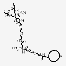 CC1CCCCCCCC(SCC(=O)NCCOCCOCC(=O)NC(CCC(=O)NCCOCCOCC(=O)N[C@H](CCC(=O)O)C(=O)N(CCNC(=O)CI)CCNC(=O)CI)C(=O)O)CCCCCC1